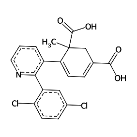 CC1(C(=O)O)CC(C(=O)O)=CC=C1c1cccnc1-c1cc(Cl)ccc1Cl